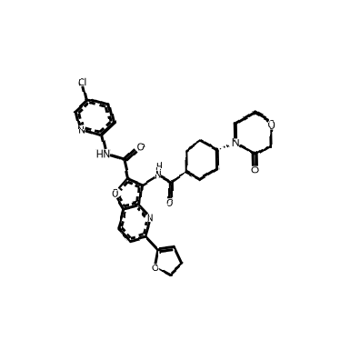 O=C(Nc1ccc(Cl)cn1)c1oc2ccc(C3=CCCO3)nc2c1NC(=O)[C@H]1CC[C@H](N2CCOCC2=O)CC1